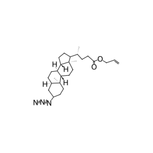 C=CCOC(=O)CC[C@@H](C)C1CC[C@H]2[C@@H]3CC[C@@H]4CC(N=[N+]=[N-])CC[C@]4(C)[C@H]3CC[C@]12C